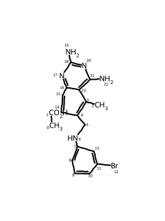 CC(=O)O.Cc1c(CNc2cccc(Br)c2)ccc2nc(N)nc(N)c12